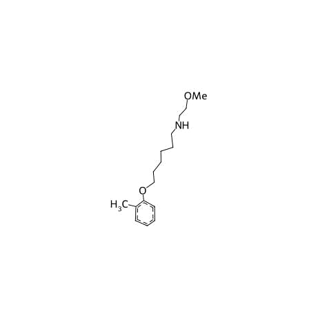 COCCNCCCCCCOc1ccccc1C